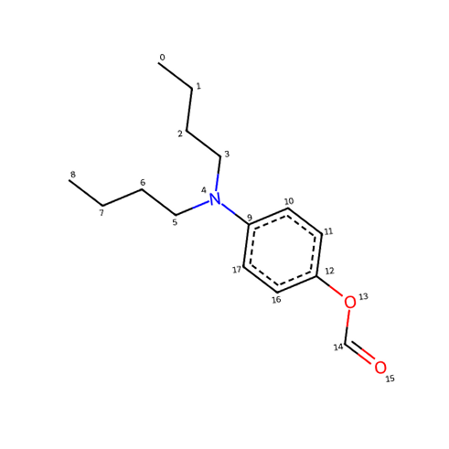 CCCCN(CCCC)c1ccc(OC=O)cc1